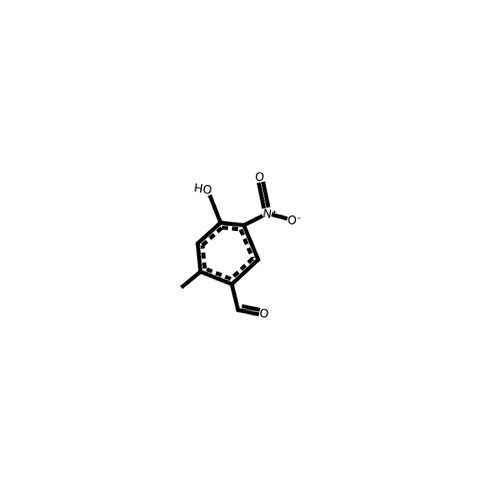 Cc1cc(O)c([N+](=O)[O-])cc1C=O